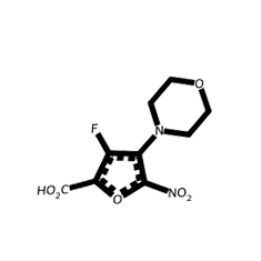 O=C(O)c1oc([N+](=O)[O-])c(N2CCOCC2)c1F